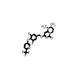 C[C@@H]1CCn2c(cc(OCc3cc(F)c(Oc4ccc(C(F)(F)F)nc4)c(F)c3)nc2=O)N1C